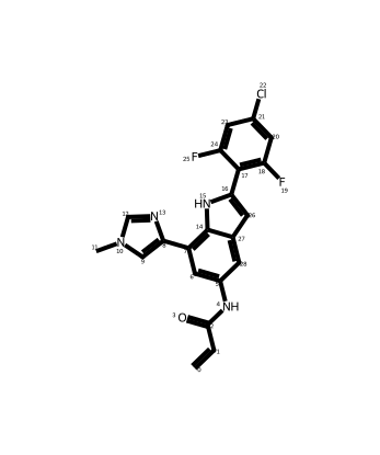 C=CC(=O)Nc1cc(-c2cn(C)cn2)c2[nH]c(-c3c(F)cc(Cl)cc3F)cc2c1